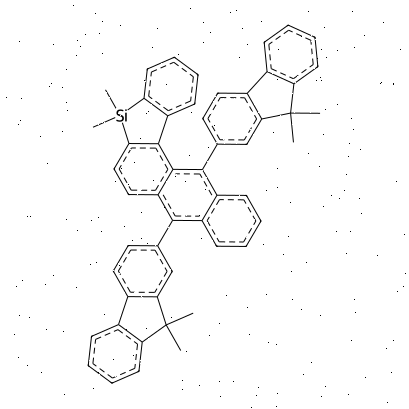 CC1(C)c2ccccc2-c2ccc(-c3c4ccccc4c(-c4ccc5c(c4)C(C)(C)c4ccccc4-5)c4c5c(ccc34)[Si](C)(C)c3ccccc3-5)cc21